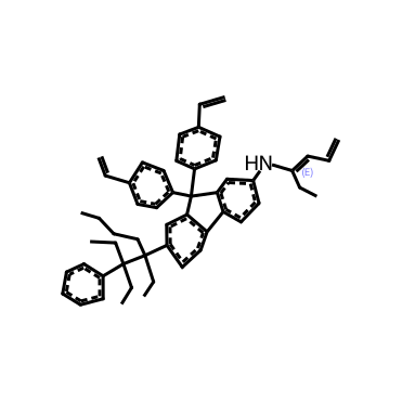 C=C/C=C(\CC)Nc1ccc2c(c1)C(c1ccc(C=C)cc1)(c1ccc(C=C)cc1)c1cc(C(CC)(CCCC)C(CC)(CC)c3ccccc3)ccc1-2